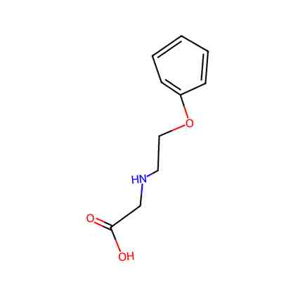 O=C(O)CNCCOc1ccccc1